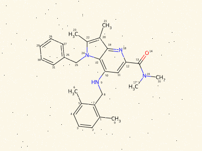 Cc1cccc(C)c1CNc1cc(C(=O)N(C)C)nc2c(C)c(C)n(Cc3ccccc3)c12